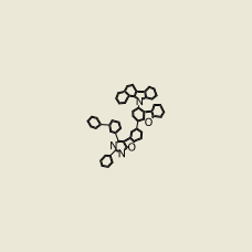 c1ccc(-c2cccc(-c3nc(-c4ccccc4)nc4oc5ccc(-c6ccc(-n7c8ccccc8c8ccc9ccccc9c87)c7c6oc6ccccc67)cc5c34)c2)cc1